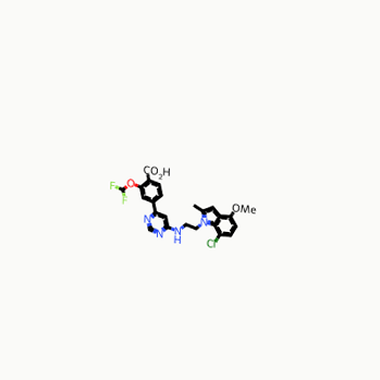 COc1ccc(Cl)c2c1cc(C)n2CCNc1cc(-c2ccc(C(=O)O)c(OC(F)F)c2)ncn1